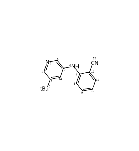 CC(C)(C)c1cncc(Nc2ccccc2C#N)c1